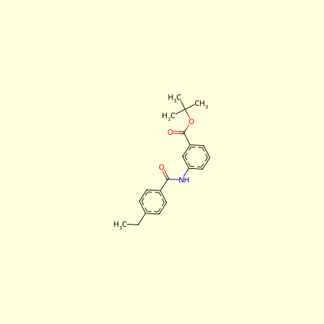 CCc1ccc(C(=O)Nc2cccc(C(=O)OC(C)(C)C)c2)cc1